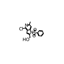 Cc1cc2c(cc(CO)n2S(=O)(=O)c2ccccc2)c(Cl)n1